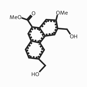 COC(=O)c1cc2ccc(CO)cc2c2cc(CO)c(OC)cc12